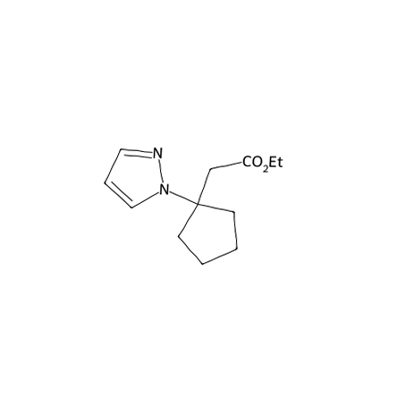 CCOC(=O)CC1(n2cccn2)CCCC1